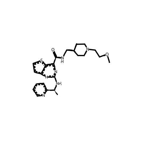 COCCN1CCC(CNC(=O)c2nc(N[C@@H](C)c3ccccn3)nc3ccsc23)CC1